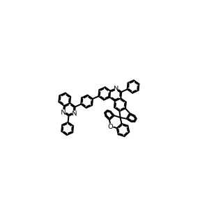 c1ccc(-c2nc(-c3ccc(-c4ccc5nc(-c6ccccc6)c6cc7c(cc6c5c4)C4(c5ccccc5Oc5ccccc54)c4ccccc4-7)cc3)c3ccccc3n2)cc1